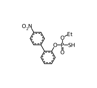 CCOP(=O)(S)Oc1ccccc1-c1ccc([N+](=O)[O-])cc1